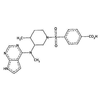 CC1CCN(S(=O)(=O)c2ccc(C(=O)O)cc2)CC1N(C)c1ncnc2[nH]ccc12